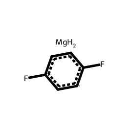 Fc1[c]cc(F)cc1.[MgH2]